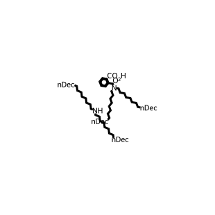 CCCCCCCCCCCCCCCCCCN(CCCCCCCCCCCCCCCCCC)C(=O)c1ccccc1C(=O)O.CCCCCCCCCCCCCCCCCCNCCCCCCCCCCCCCCCCCC